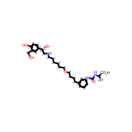 CCC(NC(=O)Nc1cccc(CCCCOCCCCCCNC[C@@H](O)c2ccc(O)c(CO)c2)c1)C(=O)O